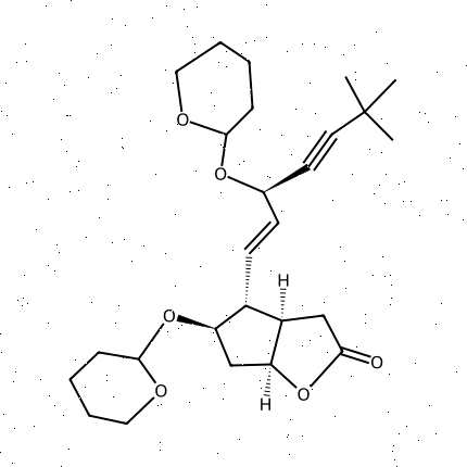 CC(C)(C)C#C[C@@H](C=C[C@@H]1[C@H]2CC(=O)O[C@H]2C[C@H]1OC1CCCCO1)OC1CCCCO1